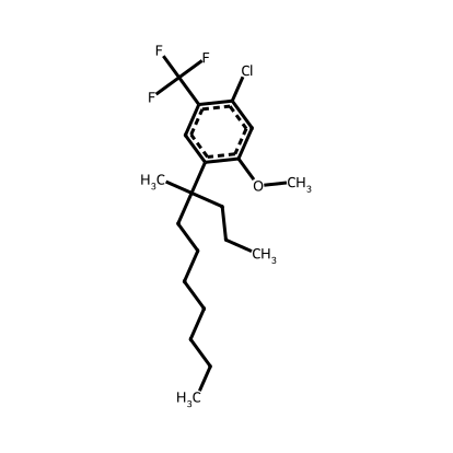 CCCCCCCC(C)(CCC)c1cc(C(F)(F)F)c(Cl)cc1OC